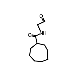 O=CCNC(=O)C1CCCCCCC1